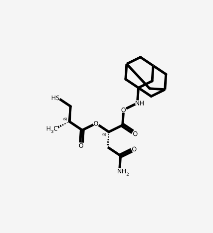 C[C@H](CS)C(=O)O[C@@H](CC(N)=O)C(=O)ONC12CC3CC(CC(C3)C1)C2